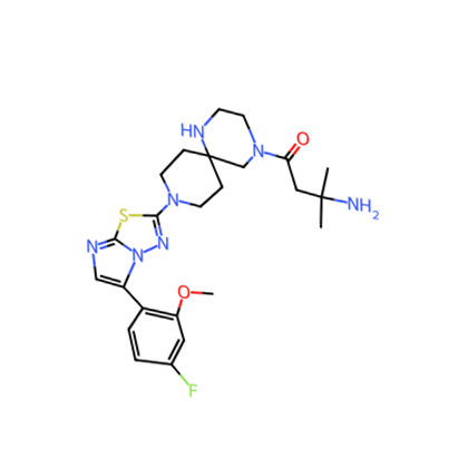 COc1cc(F)ccc1-c1cnc2sc(N3CCC4(CC3)CN(C(=O)CC(C)(C)N)CCN4)nn12